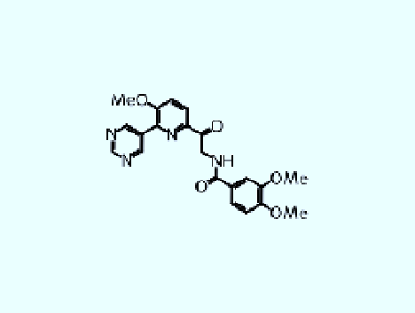 COc1ccc(C(=O)NCC(=O)c2ccc(OC)c(-c3cncnc3)n2)cc1OC